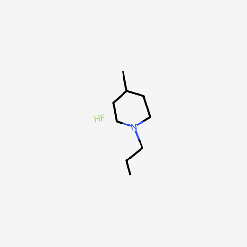 CCCN1CCC(C)CC1.F